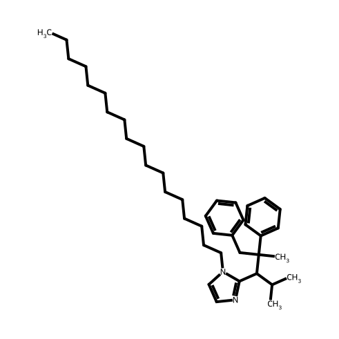 CCCCCCCCCCCCCCCCCCn1ccnc1C(C(C)C)C(C)(Cc1ccccc1)c1ccccc1